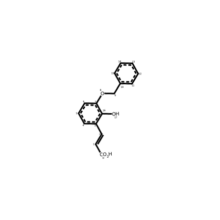 O=C(O)/C=C/c1cccc(OCc2ccccc2)c1O